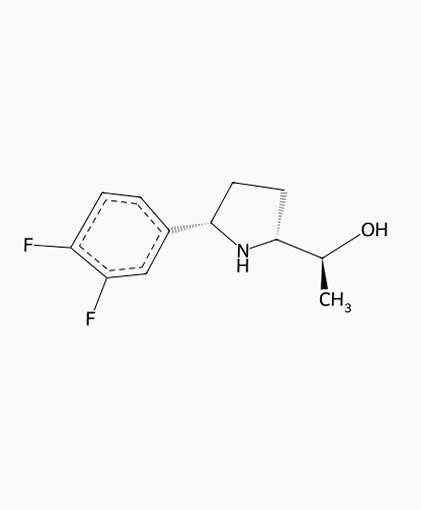 C[C@H](O)[C@H]1CC[C@@H](c2ccc(F)c(F)c2)N1